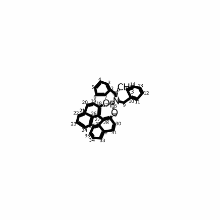 C[C@@H](c1ccccc1)N(Cc1ccccc1)p1oc2ccc3ccccc3c2c2c(ccc3ccccc32)o1